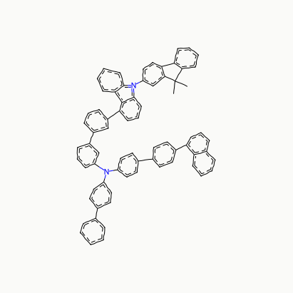 CC1(C)c2ccccc2-c2ccc(-n3c4ccccc4c4c(-c5cccc(-c6cccc(N(c7ccc(-c8ccccc8)cc7)c7ccc(-c8ccc(-c9cccc%10ccccc9%10)cc8)cc7)c6)c5)cccc43)cc21